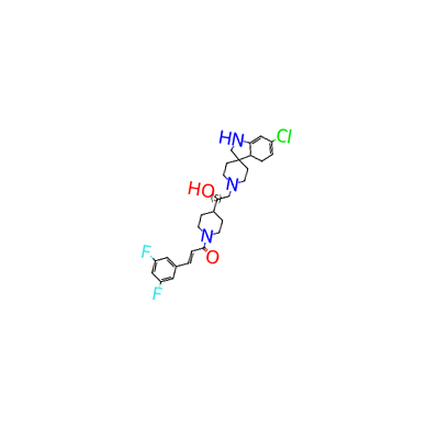 O=C(C=Cc1cc(F)cc(F)c1)N1CCC([C@H](O)CN2CCC3(CC2)CNC2=CC(Cl)=CCC23)CC1